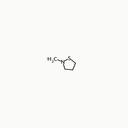 [CH2]N1CCCS1